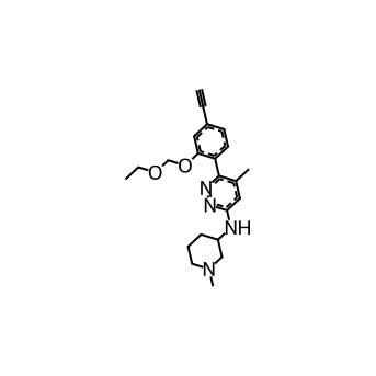 C#Cc1ccc(-c2nnc(NC3CCCN(C)C3)cc2C)c(OCOCC)c1